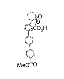 COC(=O)c1ccc(-c2ccc(-c3ccc([C@@]4(CC(=O)O)CCCCS4(=O)=O)s3)cc2)cc1